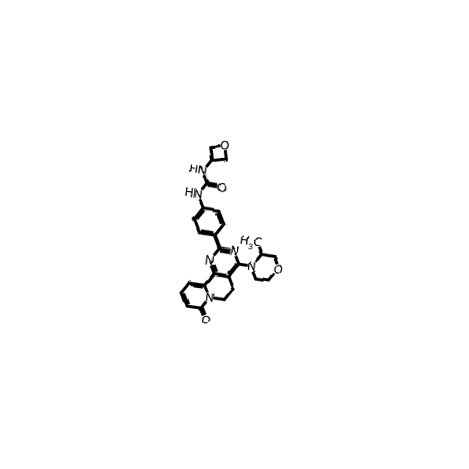 CC1COCCN1c1nc(-c2ccc(NC(=O)NC3COC3)cc2)nc2c1CCn1c-2cccc1=O